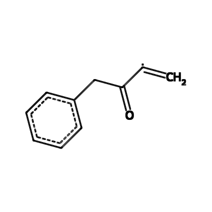 C=[C]C(=O)Cc1ccccc1